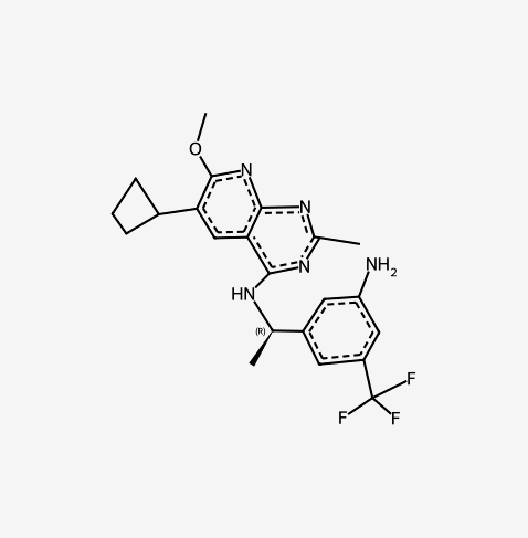 COc1nc2nc(C)nc(N[C@H](C)c3cc(N)cc(C(F)(F)F)c3)c2cc1C1CCC1